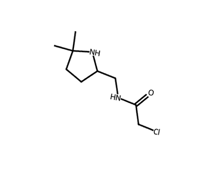 CC1(C)CCC(CNC(=O)CCl)N1